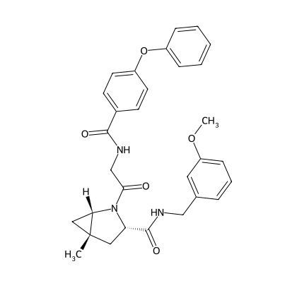 COc1cccc(CNC(=O)[C@@H]2C[C@]3(C)C[C@@H]3N2C(=O)CNC(=O)c2ccc(Oc3ccccc3)cc2)c1